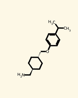 CC(C)c1ccc(OC[C@H]2CC[C@H](CN)CC2)cc1